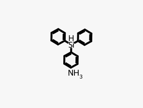 N.c1ccc([SiH](c2ccccc2)c2ccccc2)cc1